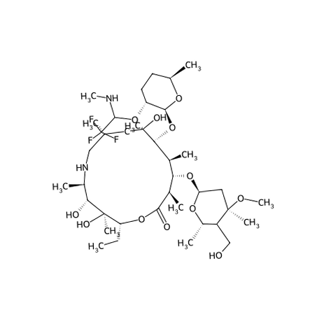 CC[C@H]1OC(=O)[C@H](C)[C@@H](O[C@H]2C[C@@](C)(OC)C(CO)[C@H](C)O2)[C@H](C)[C@@H](O[C@@H]2O[C@H](C)CC[C@H]2OC(NC)C(F)(F)F)[C@](C)(O)C[C@@H](C)CN[C@H](C)[C@@H](O)[C@]1(C)O